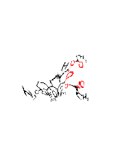 C/C=C1\[C@@H]([C@@]2(C)CCCC(C)(C)C2)CC[C@H]2[C@H](OC(C)=O)O[C@H](OC(C)=O)[C@@]12C